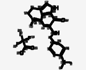 CN(C)c1ccc(CNC2=CC3=[N+](C)CCc4c[nH]c(c43)C2=O)cc1.O=C([O-])C(F)(F)F